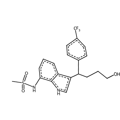 CS(=O)(=O)Nc1cccc2c(C(CCCO)c3ccc(C(F)(F)F)cc3)c[nH]c12